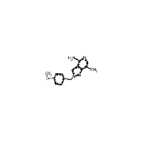 COc1ccc(Cn2cc3c(N)ncc(C)c3n2)cc1